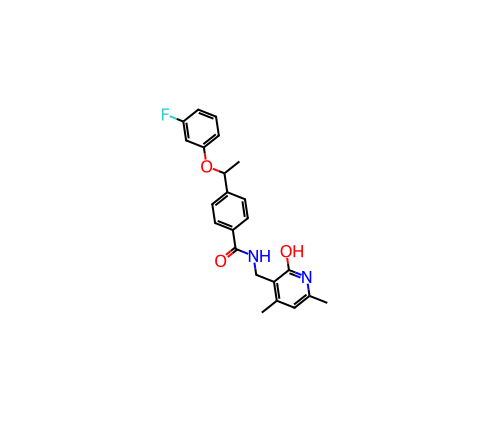 Cc1cc(C)c(CNC(=O)c2ccc(C(C)Oc3cccc(F)c3)cc2)c(O)n1